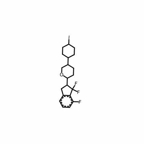 Fc1cccc2c1C(F)(F)C(C1CCC(C3CCC(I)CC3)CO1)C2